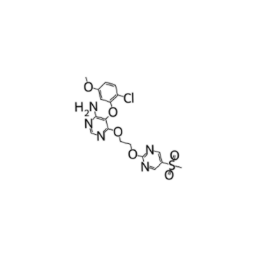 COc1ccc(Cl)c(Oc2c(N)ncnc2OCCOc2ncc(S(C)(=O)=O)cn2)c1